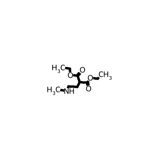 CCOC(=O)C(CCNC)C(=O)OCC